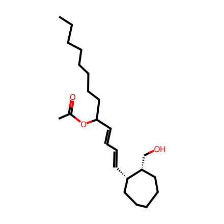 CCCCCCCCC(/C=C/C=C/[C@H]1CCCCC[C@H]1CO)OC(C)=O